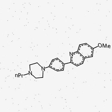 CCCN1CCN(c2ccc(-c3ccc4cc(OC)ccc4n3)cc2)CC1